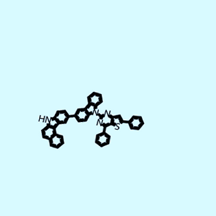 c1ccc(-c2cc3nc(-n4c5ccccc5c5cc(-c6ccc7[nH]c8ccc9ccccc9c8c7c6)ccc54)nc(-c4ccccc4)c3s2)cc1